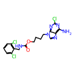 Nc1nc(Cl)nc2c1ncn2CCCCOC(=O)NCc1c(Cl)cccc1Cl